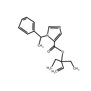 C=CC(CC)(CC)OC(=O)c1cncn1C(C)c1ccccc1